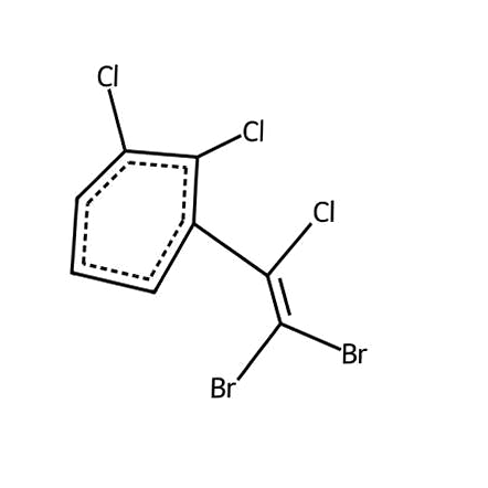 ClC(=C(Br)Br)c1cccc(Cl)c1Cl